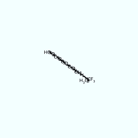 CC(F)(CCCCCCSCCOCCOCCOCCOCCOCCOCCOCCOCCO)C(F)(F)F